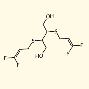 OCC(SCC=C(F)F)C(CO)SCC=C(F)F